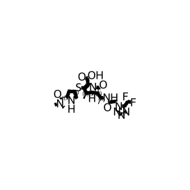 C[C@@H](NC(=O)Cn1nnnc1C(F)F)[C@H]1C(=O)N2C(C(=O)O)=C(S[C@@H]3CN[C@H](C(=O)N(C)C)C3)[C@H](C)[C@H]12